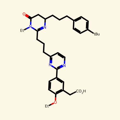 CCOc1ccc(-c2nccc(CCCC3=NC(CCCc4ccc(C(C)(C)C)cc4)CC(=O)N3CC)n2)cc1CC(=O)O